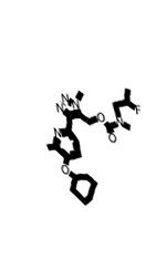 Cc1nc(-c2nnn(C)c2COC(=O)N(C)CC(C)F)ccc1OC1CCCCC1